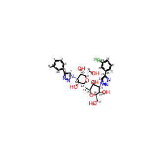 Cc1cccc(-c2cn([C@H]3[C@@H](O)[C@@H](C[C@@H]4O[C@H](CO)[C@H](O)[C@H](n5cc(-c6cccc([18F])c6)nn5)[C@@H]4O)O[C@@H](CO)[C@H]3O)nn2)c1